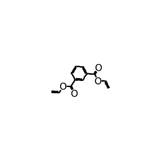 C=COC(=O)c1cccc(C(=O)OC=C)c1